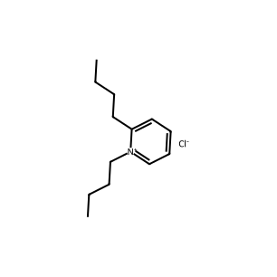 CCCCc1cccc[n+]1CCCC.[Cl-]